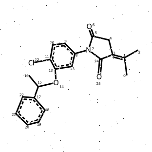 CC(C)=C1CC(=O)N(c2ccc(Cl)c(OC(C)c3ccccc3)c2)C1=O